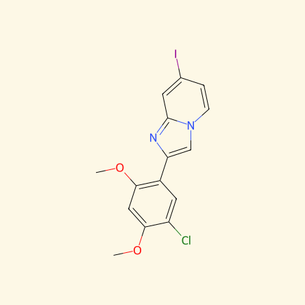 COc1cc(OC)c(-c2cn3ccc(I)cc3n2)cc1Cl